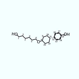 OCCCCCCO[C@H]1CC[C@H](c2ccc(O)cc2)CC1